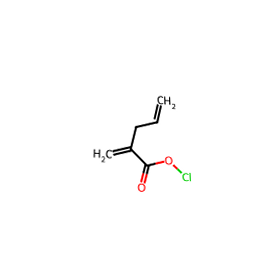 C=CCC(=C)C(=O)OCl